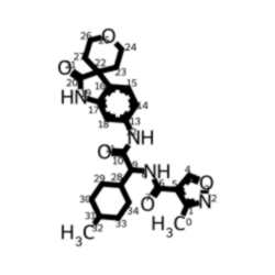 Cc1nocc1C(=O)NC(C(=O)Nc1ccc2c(c1)NC(=O)C21CCOCC1)C1CCC(C)CC1